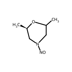 CC1CN(N=O)C[C@@H](C)O1